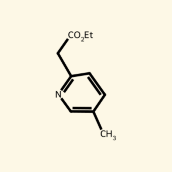 CCOC(=O)Cc1ccc(C)cn1